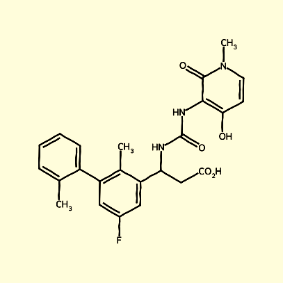 Cc1ccccc1-c1cc(F)cc(C(CC(=O)O)NC(=O)Nc2c(O)ccn(C)c2=O)c1C